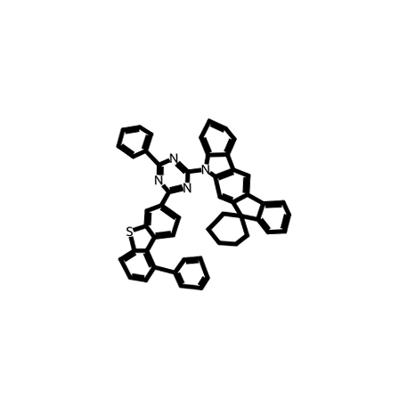 c1ccc(-c2nc(-c3ccc4c(c3)sc3cccc(-c5ccccc5)c34)nc(-n3c4ccccc4c4cc5c(cc43)C3(CCCCC3)c3ccccc3-5)n2)cc1